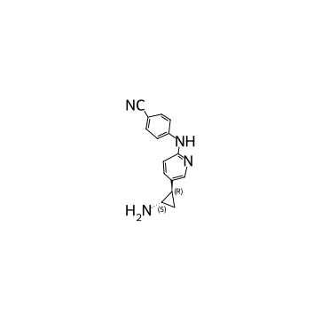 N#Cc1ccc(Nc2ccc([C@H]3C[C@@H]3N)cn2)cc1